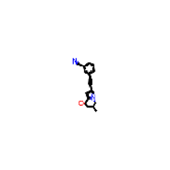 CC1CC(=O)c2cc(C#Cc3cccc(C#N)c3)cn2C1